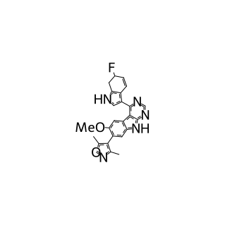 COc1cc2c(cc1-c1c(C)noc1C)[nH]c1ncnc(-c3c[nH]c4c3C=CC(F)C4)c12